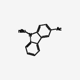 CCCCn1c2ccccc2c2cc(C(C)=O)ccc21